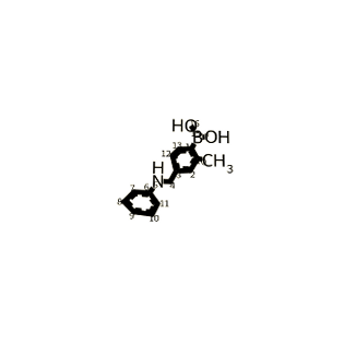 Cc1cc(CNc2ccccc2)ccc1B(O)O